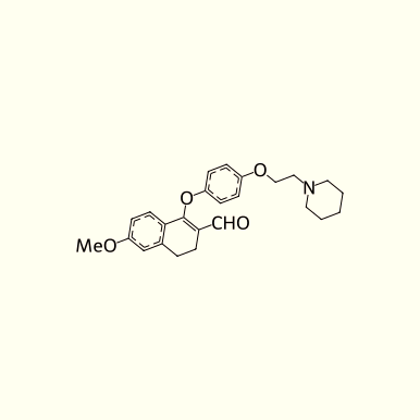 COc1ccc2c(c1)CCC(C=O)=C2Oc1ccc(OCCN2CCCCC2)cc1